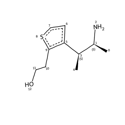 C[C@H](N)[C@@H](C)c1ccsc1CCO